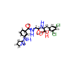 O=C(CNC(=O)c1cccc(NC2=NCCC2)c1)NC(Cc1cc(Cl)cc(Cl)c1)C(=O)O